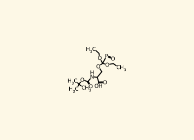 CCOC(OCC)(OCC(NC(=O)OC(C)(C)C)C(=O)O)P=O